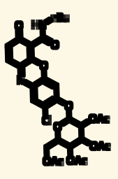 CCCCNC(=O)c1c2oc3cc(OC4OC(COC(C)=O)C(OC(C)=O)C(OC(C)=O)C4OC(C)=O)c(Cl)cc3nc-2ccc1=O